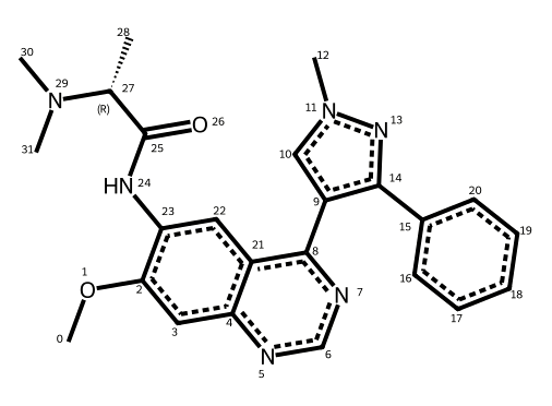 COc1cc2ncnc(-c3cn(C)nc3-c3ccccc3)c2cc1NC(=O)[C@@H](C)N(C)C